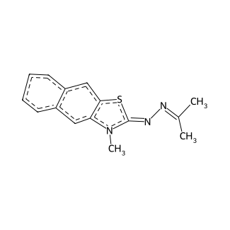 CC(C)=N/N=c1\sc2cc3ccccc3cc2n1C